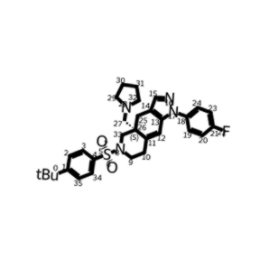 CC(C)(C)c1ccc(S(=O)(=O)N2CCC3=Cc4c(cnn4-c4ccc(F)cc4)C[C@]3(CN3CCCC3)C2)cc1